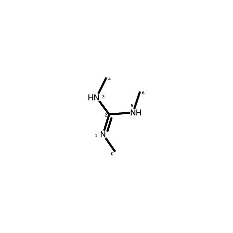 CN=C(NC)NC